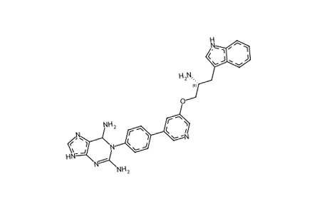 NC1=Nc2[nH]cnc2C(N)N1c1ccc(-c2cncc(OC[C@H](N)Cc3c[nH]c4ccccc34)c2)cc1